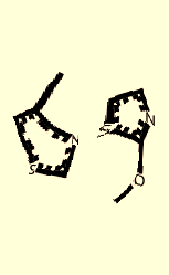 COc1nccs1.Cc1cscn1